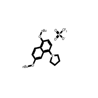 CCCCOc1ccc2c(OCCCC)ccc([S+]3CCCC3)c2c1.O=S(=O)([O-])C(F)(F)F